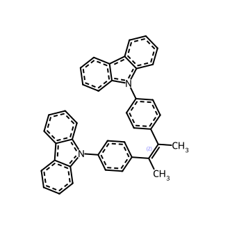 C/C(=C(\C)c1ccc(-n2c3ccccc3c3ccccc32)cc1)c1ccc(-n2c3ccccc3c3ccccc32)cc1